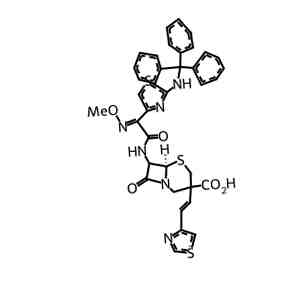 CON=C(C(=O)NC1C(=O)N2CC(C=Cc3cscn3)(C(=O)O)CS[C@H]12)c1csc(NC(c2ccccc2)(c2ccccc2)c2ccccc2)n1